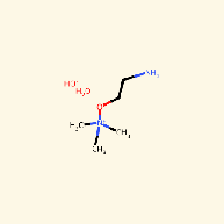 C[N+](C)(C)OCCN.O.[OH-]